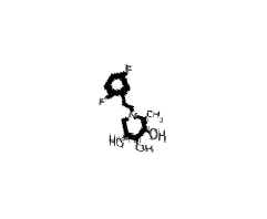 C[C@@H]1[C@@H](O)[C@H](O)[C@@H](O)CN1CCc1cc(F)ccc1F